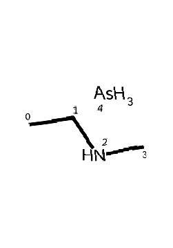 CCNC.[AsH3]